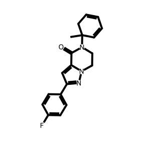 CC1(N2CCn3nc(-c4ccc(F)cc4)cc3C2=O)C=CC=CC1